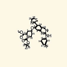 COC(=O)[C@H]1CC(Oc2cc3nc(Nc4cccc(F)c4)ncc3cc2-c2nccs2)CCN1C(=O)OC(C)(C)C